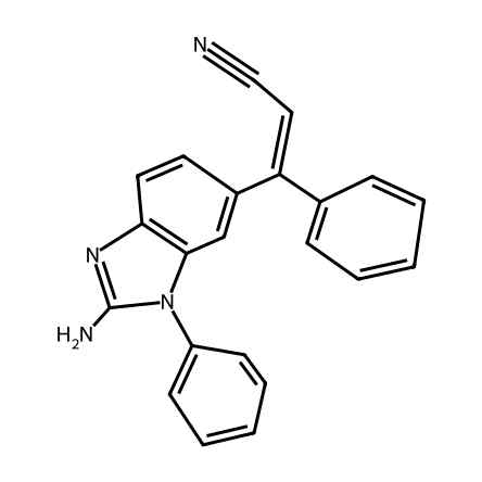 N#C/C=C(/c1ccccc1)c1ccc2nc(N)n(-c3ccccc3)c2c1